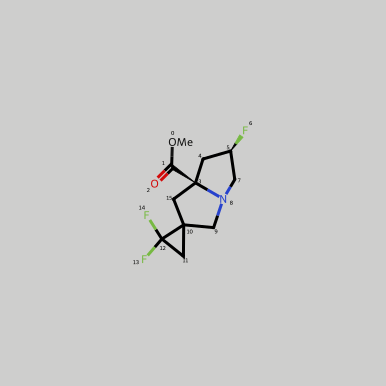 COC(=O)[C@@]12C[C@@H](F)CN1CC1(CC1(F)F)C2